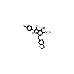 CCOC(=O)c1nc(Cc2ccc3c(c2)OCO3)c2[nH]c(-c3ccc(Cl)cc3)c(C)c2c1O